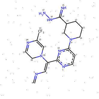 C=N/C=C(/c1nccc(N2CCCC(C(=N)NN)C2)n1)N1C=C(C(F)(F)F)N=CC1